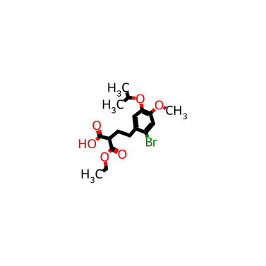 CCOC(=O)C(CCc1cc(OC(C)C)c(OC)cc1Br)C(=O)O